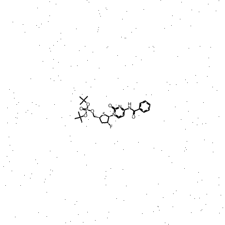 CC(C)(C)OP(=O)(OC[C@@H]1C[C@H](F)[C@H](n2ccc(NC(=O)c3ccccc3)nc2=O)S1)OC(C)(C)C